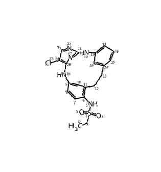 CCS(=O)(=O)Nc1ccc2cc1CCc1cccc(c1)Nc1ncc(Cl)c(n1)N2